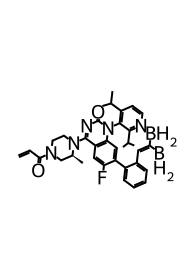 BC(B)=Cc1ccccc1-c1cc2c(cc1F)c(N1CCN(C(=O)C=C)C[C@@H]1C)nc(=O)n2-c1c(C(C)C)ccnc1C(C)C